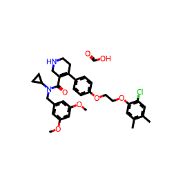 COc1cc(CN(C(=O)C2=C(c3ccc(OCCOc4cc(C)c(C)cc4Cl)cc3)CCNC2)C2CC2)cc(OC)c1.O=CO